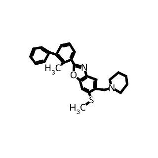 CSc1cc2oc(-c3cccc(-c4ccccc4)c3C)nc2cc1CN1CCCCC1